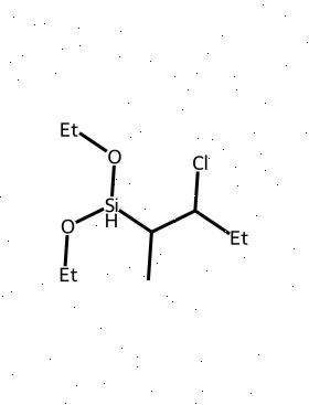 CCO[SiH](OCC)C(C)C(Cl)CC